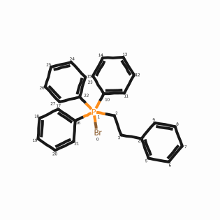 BrP(CCc1ccccc1)(c1ccccc1)(c1ccccc1)c1ccccc1